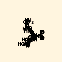 NS(=O)(=O)c1ccc(NC(=O)NC2CCN(c3nc(NCC(c4ccccc4)c4ccccc4)c4ncn([C@@H]5C[C@H](n6nnc(CO)n6)[C@@H](O)[C@H]5O)c4n3)C2)cc1